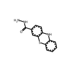 NNC(=O)c1ccc2c(c1)Sc1ccccc1N2